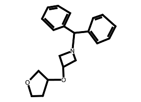 c1ccc(C(c2ccccc2)N2CC(OC3CCOC3)C2)cc1